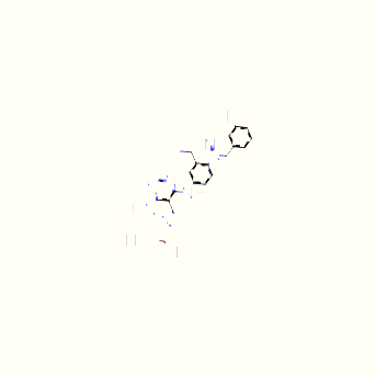 CC(C)O/N=C/c1c(N)ncnc1Nc1ccc(N(N)Cc2cccc(F)c2)c(CI)c1